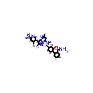 Cc1cc(N(C)Cc2ccc(-c3ccccc3C(N)=O)cc2)n2nc(C)c(-c3cnc(N(C)C)cc3C)c2n1